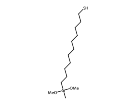 CO[Si](C)(CCCCCCCCCCCS)OC